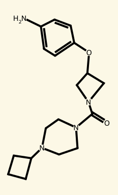 Nc1ccc(OC2CN(C(=O)N3CCN(C4CCC4)CC3)C2)cc1